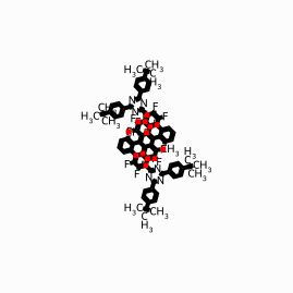 Cc1cccc(-c2c(F)c(F)c(-c3nc(-c4ccc(C(C)(C)C)cc4)nc(-c4ccc(C(C)(C)C)cc4)n3)c(F)c2F)c1-c1c2c(F)c(F)c(F)c(F)c2c(-c2c(C)cccc2-c2c(F)c(F)c(-c3nc(-c4ccc(C(C)(C)C)cc4)nc(-c4ccc(C(C)(C)C)cc4)n3)c(F)c2F)c2c(F)c(F)c(F)c(F)c12